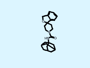 O=C(NC12CC3CC(CC(C3)C1)C2)N1CCC2(CC1)OCc1ccccc12